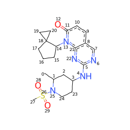 CC1CC(Nc2ncc3ccc(=O)n(C4CCCC45CC5)c3n2)CCN1S(C)(=O)=O